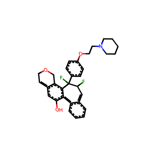 Oc1cc2c(c3c1=c1ccccc1=CC(F)C3(F)c1ccc(OCCN3CCCCC3)cc1)COCC=2